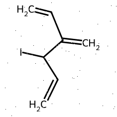 C=CC(=C)C(I)C=C